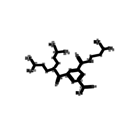 CC(C)CCNC(=O)c1cc(C(N)=O)cc(C(=O)N(CCC(C)C)CCC(C)C)c1